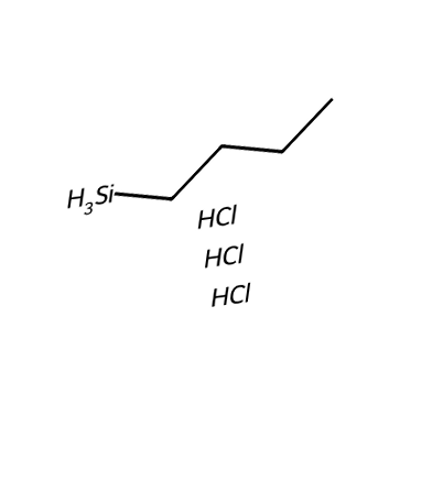 CCCC[SiH3].Cl.Cl.Cl